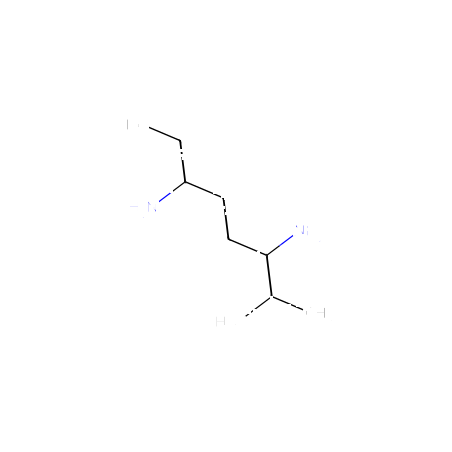 CCC(N)CCC(N)C(C)C